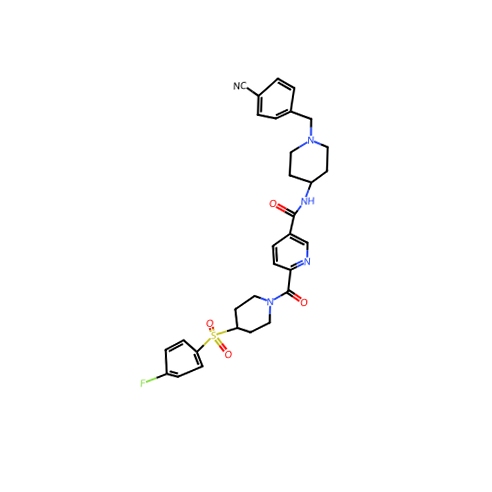 N#Cc1ccc(CN2CCC(NC(=O)c3ccc(C(=O)N4CCC(S(=O)(=O)c5ccc(F)cc5)CC4)nc3)CC2)cc1